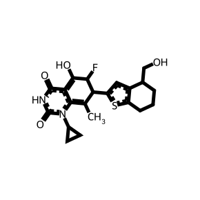 CC1=c2c(c(=O)[nH]c(=O)n2C2CC2)=C(O)C(F)C1c1cc2c(s1)CCCC2CO